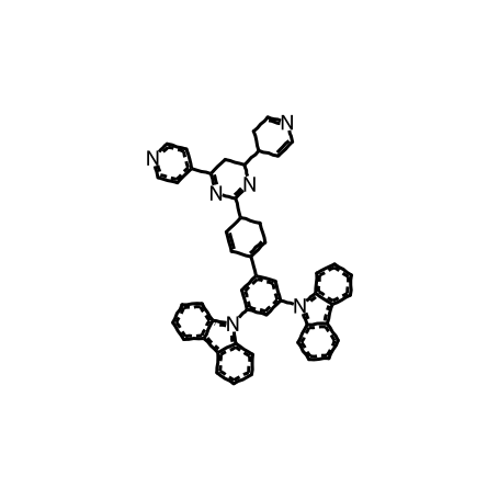 C1=CC(C2CC(c3ccncc3)=NC(C3C=CC(c4cc(-n5c6ccccc6c6ccccc65)cc(-n5c6ccccc6c6ccccc65)c4)=CC3)=N2)CC=N1